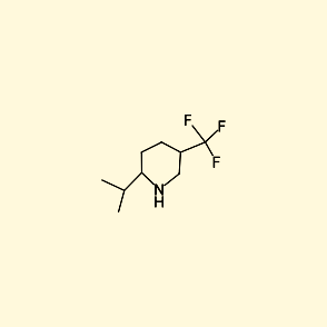 CC(C)C1CCC(C(F)(F)F)CN1